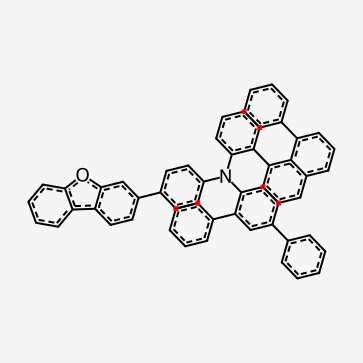 c1ccc(-c2ccc(N(c3ccc(-c4ccc5c(c4)oc4ccccc45)cc3)c3ccccc3-c3cccc4cccc(-c5ccccc5)c34)c(-c3ccccc3)c2)cc1